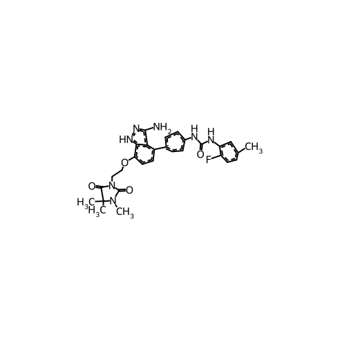 Cc1ccc(F)c(NC(=O)Nc2ccc(-c3ccc(OCCN4C(=O)N(C)C(C)(C)C4=O)c4[nH]nc(N)c34)cc2)c1